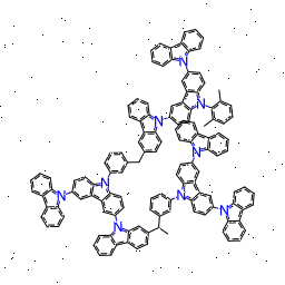 Cc1cccc(C)c1-n1c2ccc(-n3c4ccccc4c4ccccc43)cc2c2cc(-n3c4ccccc4c4cc(Cc5cccc(-n6c7ccc(-n8c9ccccc9c9ccccc98)cc7c7cc(-n8c9ccccc9c9ccc(C(C)c%10cccc(-n%11c%12ccc(-n%13c%14ccccc%14c%14ccccc%14%13)cc%12c%12cc(-n%13c%14ccccc%14c%14ccccc%14%13)ccc%12%11)c%10)cc98)ccc76)c5)ccc43)ccc21